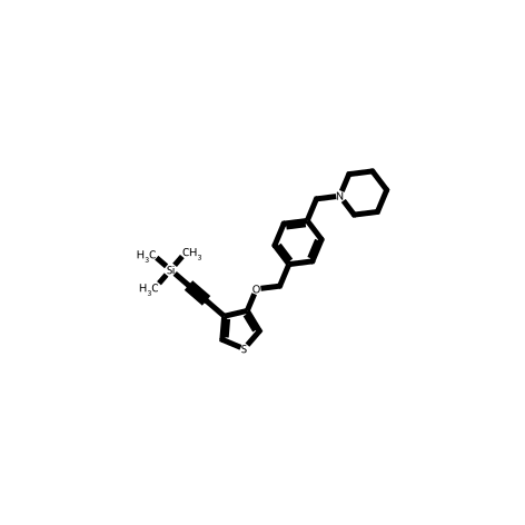 C[Si](C)(C)C#Cc1cscc1OCc1ccc(CN2CCCCC2)cc1